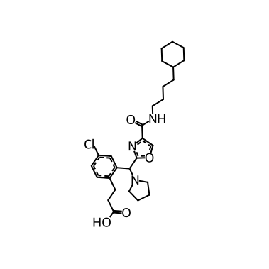 O=C(O)CCc1ccc(Cl)cc1C(c1nc(C(=O)NCCCCC2CCCCC2)co1)N1CCCC1